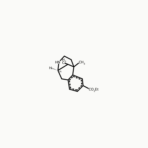 CCOC(=O)c1ccc2c(c1)C1(C)CCN[C@H](C2)C1C